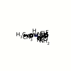 CC(C)CCN1CCC(N/C=C(\C=N)c2cnc(N)c(O[C@H](C)c3c(Cl)ccc(F)c3Cl)c2)CC1